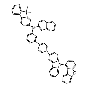 CC1(C)c2ccccc2-c2ccc(N(c3cccc(-c4ccc(-c5ccc6c(c5)c5ccccc5n6-c5cccc6oc7ccccc7c56)cc4)c3)c3ccc4ccccc4c3)cc21